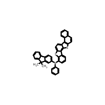 CC1(C)c2ccccc2-c2ccc(N(c3ccccc3)c3cccc4c3sc3ccc5c(sc6ccc7ccccc7c65)c34)cc21